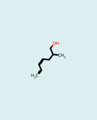 C=C/C=C\CC(C)CO